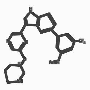 CC(=O)Nc1cc(-c2ccc3[nH]cc(-c4cncc(O[C@@H]5CCCNC5)n4)c3c2)cc(C(F)(F)F)c1